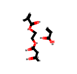 C=C(C)C(=O)OCCOC(=O)CC(C)=O.C=CC(=O)O